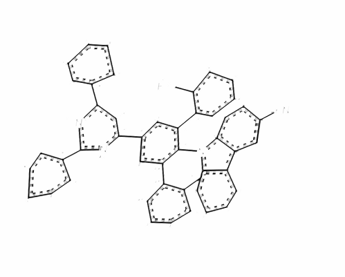 N#Cc1ccc2c(c1)c1ccccc1n2-c1c(-c2ccccc2C(F)(F)F)cc(-c2cc(-c3ccccc3)nc(-c3ccccc3)n2)cc1-c1ccccc1C(F)(F)F